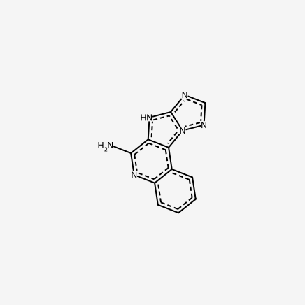 Nc1nc2ccccc2c2c1[nH]c1ncnn12